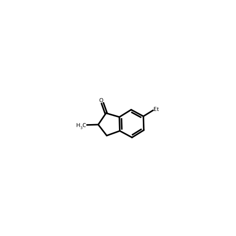 CCc1ccc2c(c1)C(=O)C(C)C2